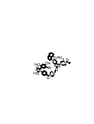 C=CC(=O)N1CCN(c2nc(OCCN3CCN(C(=O)c4ccc(-n5c(O)nnc5-c5cc(C(C)C)c(O)cc5O)cc4)CC3)nc3c2CCN(c2cccc4cccc(Cl)c24)C3)C[C@@H]1CC#N